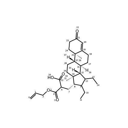 C=CCOC(=O)C(C[C@H]1C(CC)C(CC)[C@H]2[C@@H]3CCC4=CC(=O)CC[C@]4(C)[C@H]3CC[C@]12C)C(=O)O